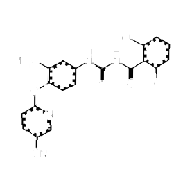 N#Cc1ccc(Oc2ccc(NC(=O)NC(=O)c3c(Cl)cccc3Cl)cc2C(F)(F)F)nc1